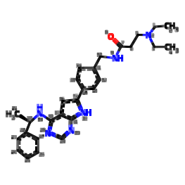 CCN(CC)CCC(=O)NCc1ccc(-c2cc3c(N[C@H](C)c4ccccc4)ncnc3[nH]2)cc1